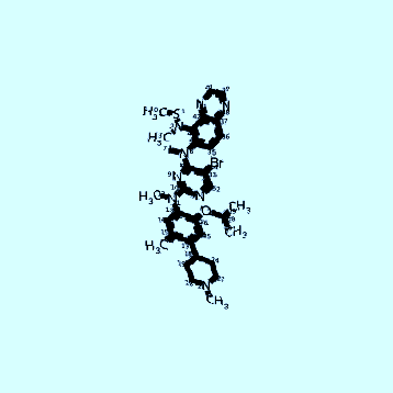 CSN(C)c1c(N(I)c2nc(N(C)c3cc(C)c(C4CCN(C)CC4)cc3OC(C)C)ncc2Br)ccc2nccnc12